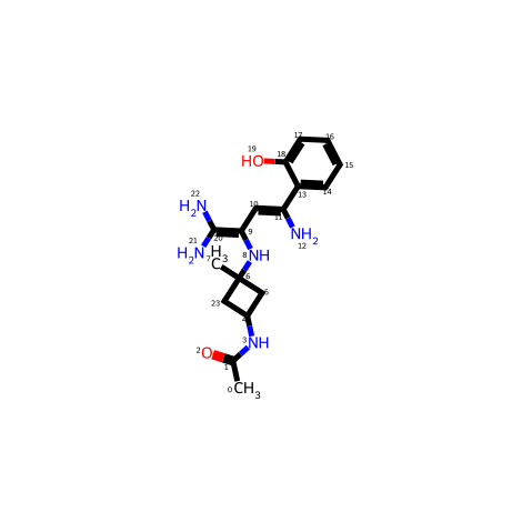 CC(=O)NC1CC(C)(NC(/C=C(\N)c2ccccc2O)=C(N)N)C1